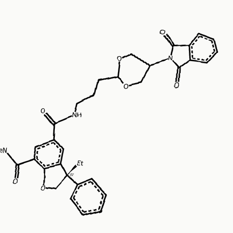 CC[C@@]1(c2ccccc2)COc2c(C(=O)NC)cc(C(=O)NCCCC3OCC(N4C(=O)c5ccccc5C4=O)CO3)cc21